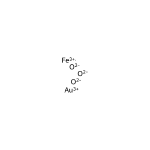 [Au+3].[Fe+3].[O-2].[O-2].[O-2]